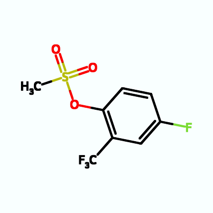 CS(=O)(=O)Oc1ccc(F)cc1C(F)(F)F